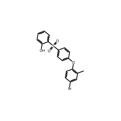 Cc1cc(Br)ccc1Oc1ccc(S(=O)(=O)c2ccccc2O)cc1